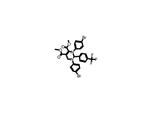 COC(=O)C1=C(C(=O)OC)N(c2ccc(Br)cc2)C(c2ccc(C(F)(F)F)cc2)N(c2ccc(Br)cc2)C1